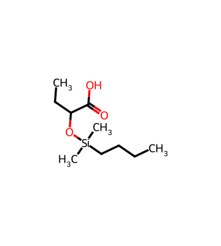 CCCC[Si](C)(C)OC(CC)C(=O)O